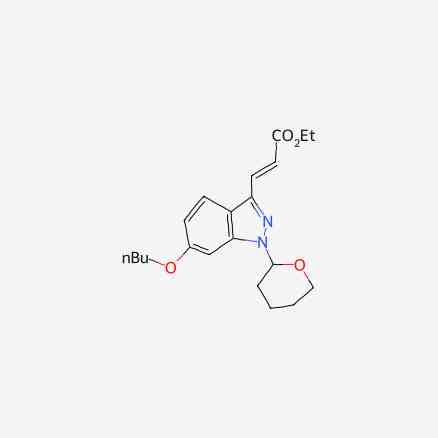 CCCCOc1ccc2c(/C=C/C(=O)OCC)nn(C3CCCCO3)c2c1